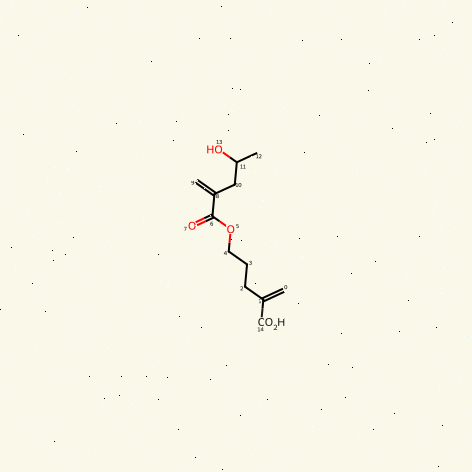 C=C(CCCOC(=O)C(=C)CC(C)O)C(=O)O